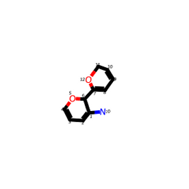 [N]C1=CC=COC1C1=CC=CCO1